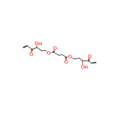 C=CC(=O)C(O)CCOC(=O)CCC(=O)OCCC(O)C(=O)C=C